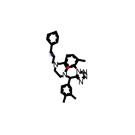 Cc1ccc(C(c2nnnn2-c2c(C)cccc2C)N2CCN(C/C=C/c3ccccc3)CC2)cc1C